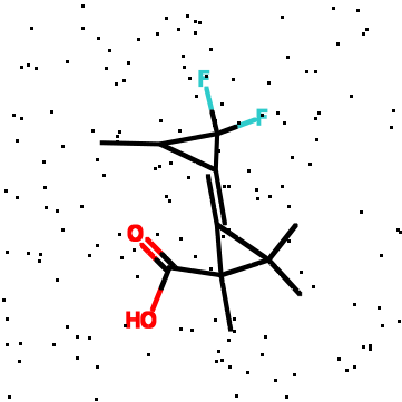 CC1C(=C2C(C)(C)C2(C)C(=O)O)C1(F)F